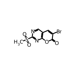 CS(=O)(=O)c1ncc2cc(Br)c(=O)oc2n1